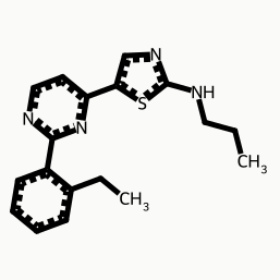 CCCNc1ncc(-c2ccnc(-c3ccccc3CC)n2)s1